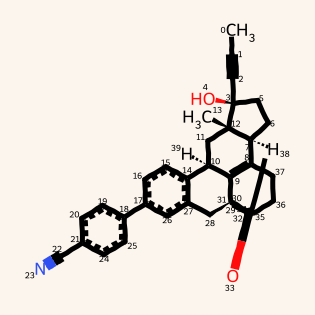 CC#C[C@]1(O)CC[C@H]2C3=C4[C@H](C[C@@]21C)c1ccc(-c2ccc(C#N)cc2)cc1C[C@@]41CCC(=O)C=C1CC3